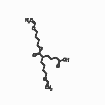 C=COCCCCOC(=O)C(CCCCOC=C)CCCC(=O)O